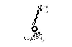 CCCCCN(C)CCCCCCO[C@H]1CC[C@H](N(CC(=O)OCC)S(C)(=O)=O)CC1